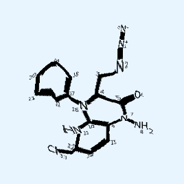 [N-]=[N+]=NCC1C(=O)N(N)C2=C(NC(Cl)C=C2)N1c1ccccc1